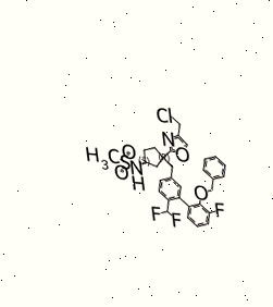 CS(=O)(=O)N[C@H]1CC[C@](Cc2ccc(C(F)F)c(-c3cccc(F)c3OCc3ccccc3)c2)(c2nc(CCl)co2)C1